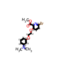 COC(=O)c1nc(Br)ccc1OCCOc1cccc(N(C)C)c1